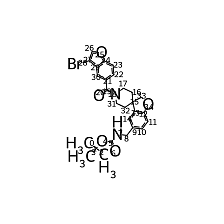 CC(C)(C)OC(=O)NCc1ccc2c(c1)C1(CCN(C(=O)c3ccc4occ(Br)c4c3)CC1)CO2